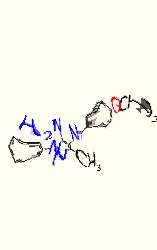 COc1ccc(/C=N/c2c(C)nn(-c3ccccc3)c2N)cc1